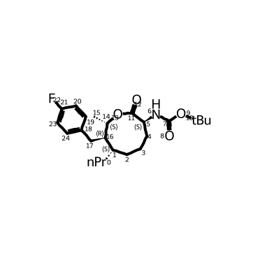 CCC[C@H]1CCC[C@H](NC(=O)OC(C)(C)C)C(=O)O[C@@H](C)[C@@H]1Cc1ccc(F)cc1